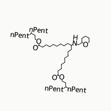 CCCCCC(CCCCC)CCOC(=O)CCCCCCCCC(CCCCCCCCC(=O)OCCC(CCCCC)CCCCC)NCC1CCCCO1